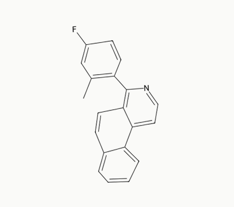 Cc1cc(F)ccc1-c1nccc2c1ccc1ccccc12